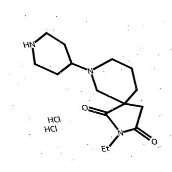 CCN1C(=O)CC2(CCCN(C3CCNCC3)C2)C1=O.Cl.Cl